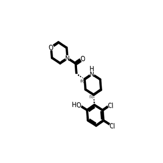 O=C(C[C@H]1C[C@@H](c2c(O)ccc(Cl)c2Cl)CCN1)N1CCOCC1